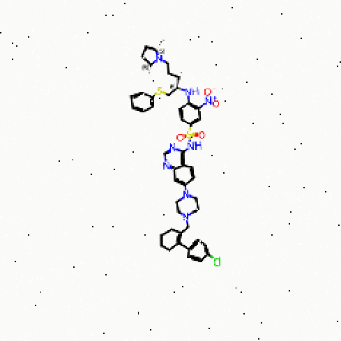 C[C@@H]1CC[C@H](C)N1CCC[C@H](CSc1ccccc1)Nc1ccc(S(=O)(=O)Nc2ncnc3cc(N4CCN(CC5=C(c6ccc(Cl)cc6)CCCC5)CC4)ccc23)cc1[N+](=O)[O-]